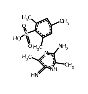 Cc1[nH]c(=N)c(C)nc1N.Cc1cc(C)c(S(=O)(=O)O)c(C)c1